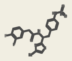 CCc1csc([C@H](Cc2ccc(N[SH](=O)=O)cc2)NC(=O)Cc2ccc(F)c(F)c2)n1